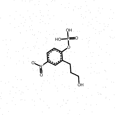 O=[N+]([O-])c1ccc(OP(=O)(O)O)c(CCCO)c1